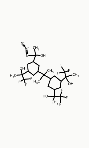 CC(O)(N=[N+]=[N-])C1CC(C(C)(C)C2CC(C(C)(O)C(F)(F)F)CC(C(C)(O)C(F)(F)F)C2)CC(C(C)(O)C(F)(F)F)C1